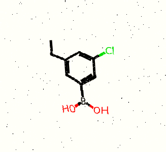 CCc1cc(Cl)cc(B(O)O)c1